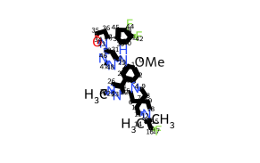 COc1cc(N2CCC3(CC2)CCN(C(C)(C)CF)CC3)c(-c2cnn(C)c2)cc1Nc1cc(N2OCC[C@@H]2c2ccc(F)c(F)c2)ncn1